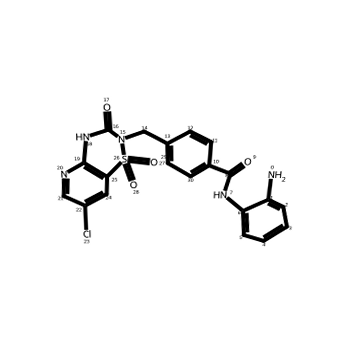 Nc1ccccc1NC(=O)c1ccc(CN2C(=O)Nc3ncc(Cl)cc3S2(=O)=O)cc1